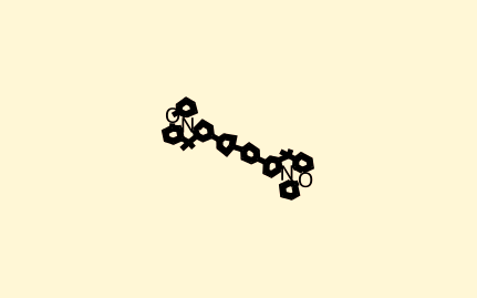 CC1(C)c2cc(-c3ccc(-c4ccc(-c5ccc6c(c5)C(C)(C)c5cccc7c5N6c5ccccc5O7)cc4)cc3)ccc2N2c3ccccc3Oc3cccc1c32